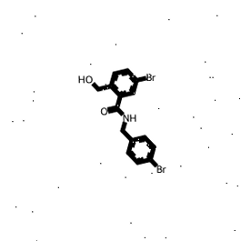 O=C(NCc1ccc(Br)cc1)c1cc(Br)ccc1CO